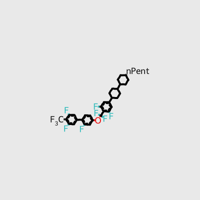 CCCCCC1CCC(C2CCC(c3cc(F)c(C(F)(F)Oc4ccc(-c5cc(F)c(C(F)(F)F)c(F)c5)c(F)c4)c(F)c3)CC2)CC1